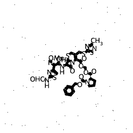 CO/N=C(\C(=O)NC1C(=O)N2C(C(=O)OCOC(=O)[C@@H]3CCCN3C(=O)OCc3ccccc3)=C(CSc3nc(C)ns3)CS[C@H]12)c1csc(NC=O)n1